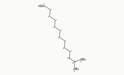 CCCCCCCCCCCCCCCCCCCCP(CCCC)CCCC